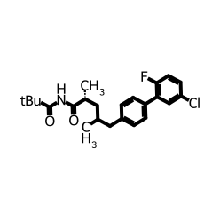 CC(Cc1ccc(-c2cc(Cl)ccc2F)cc1)C[C@@H](C)C(=O)NC(=O)C(C)(C)C